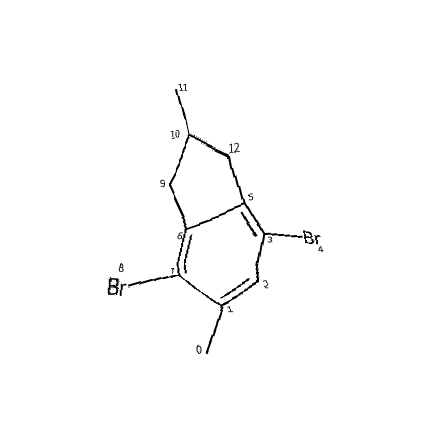 Cc1cc(Br)c2c(c1Br)CC(C)C2